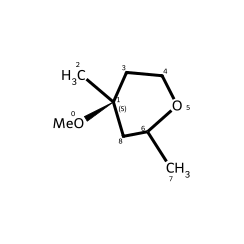 CO[C@@]1(C)CCOC(C)C1